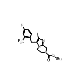 CC(C)(C)OC(=O)N1CCn2c(nc(I)c2Cc2ccc(F)cc2C(F)(F)F)C1